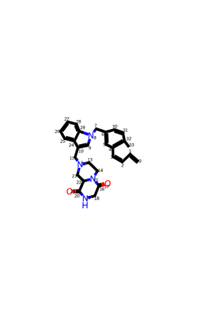 C=C/C=C\c1cc(Cn2cc(CN3CCN4C(=O)CNC(=O)C4C3)c3ccccc32)ccc1C